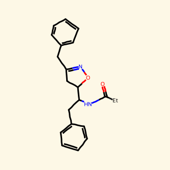 CCC(=O)NC(Cc1ccccc1)C1CC(Cc2ccccc2)=NO1